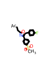 CC(=O)CCc1nc(-c2ccc(S(C)(=O)=O)cc2)c(-c2ccc(F)cc2)o1